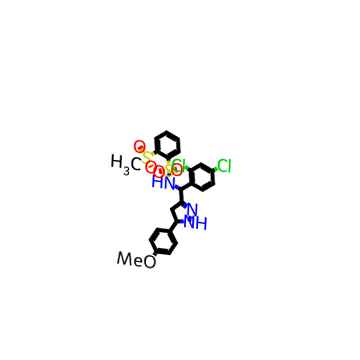 COc1ccc(C2CC(C(NS(=O)(=O)c3ccccc3S(C)(=O)=O)c3ccc(Cl)cc3Cl)=NN2)cc1